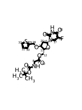 CC(C)(C)OC(=O)NCC(=O)OC[C@H]1O[C@@H](n2cc(F)c(=O)[nH]c2=O)C[C@@H]1OCc1cccs1